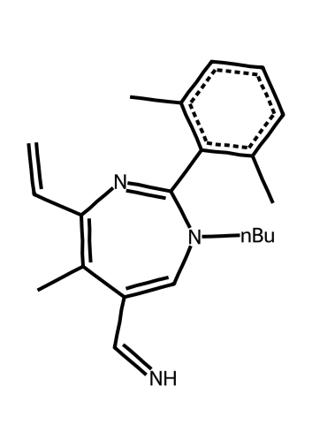 C=CC1=C(C)C(C=N)=CN(CCCC)C(c2c(C)cccc2C)=N1